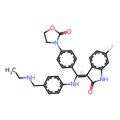 CCNCc1ccc(N/C(=C2\C(=O)Nc3cc(F)ccc32)c2ccc(N3CCOC3=O)cc2)cc1